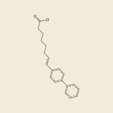 O=C(Cl)CCCCCC=Cc1ccc(-c2ccccc2)cc1